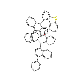 C1=CC2=C(Cc3cccc4sc5cccc(C6c7ccccc7C(c7ccccc7)=C7C=CC=CC76)c5c34)C3=C(CCC=C3)C(c3ccc(-c4ccccc4)c4ccccc34)C2C=C1